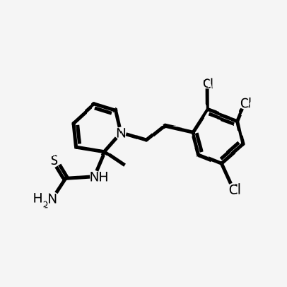 CC1(NC(N)=S)C=CC=CN1CCc1cc(Cl)cc(Cl)c1Cl